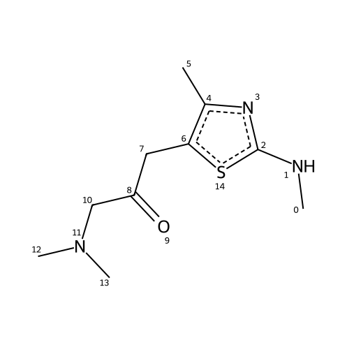 CNc1nc(C)c(CC(=O)CN(C)C)s1